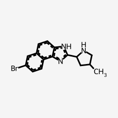 CC1CNC(c2nc3c(ccc4cc(Br)ccc43)[nH]2)C1